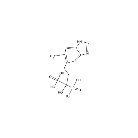 Cc1cc2[nH]cnc2cc1CCC(O)(P(=O)(O)O)P(=O)(O)O